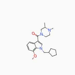 COc1cccc2c(C(=O)N3CCN(C)C(C)C3)cn(CC3CCCC3)c12